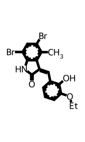 CCOc1cccc(C=C2C(=O)Nc3c(Br)cc(Br)c(C)c32)c1O